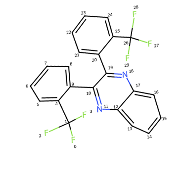 FC(F)(F)c1ccccc1-c1nc2ccccc2nc1-c1ccccc1C(F)(F)F